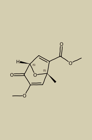 COC(=O)C1=C[C@@H]2O[C@@]1(C)C=C(OC)C2=O